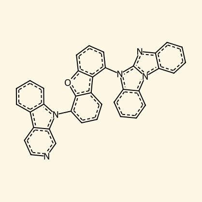 c1ccc2c(c1)nc1n(-c3cccc4oc5c(-n6c7ccccc7c7ccncc76)cccc5c34)c3ccccc3n21